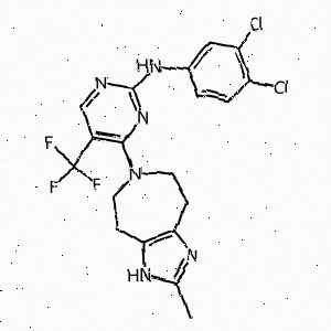 Cc1nc2c([nH]1)CCN(c1nc(Nc3ccc(Cl)c(Cl)c3)ncc1C(F)(F)F)CC2